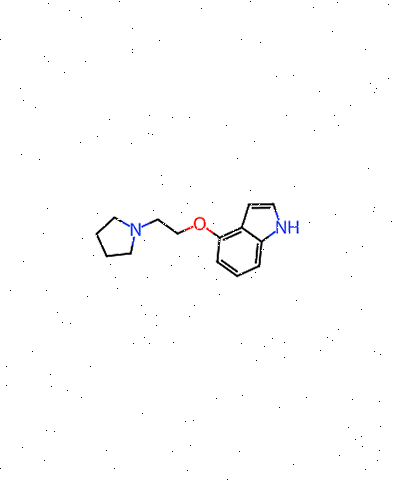 c1cc(OCCN2CCCC2)c2cc[nH]c2c1